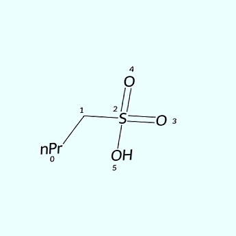 C[CH]CCS(=O)(=O)O